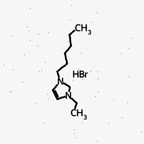 Br.CCCCCCN1C=CN(CC)C1